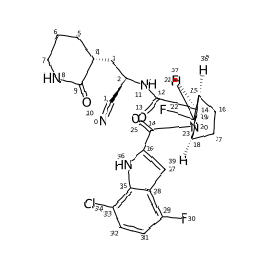 N#C[C@@H](C[C@H]1CCCNC1=O)NC(=O)[C@H]1[C@H]2CC[C@H](CC2(F)F)N1C(=O)c1cc2c(F)ccc(Cl)c2[nH]1